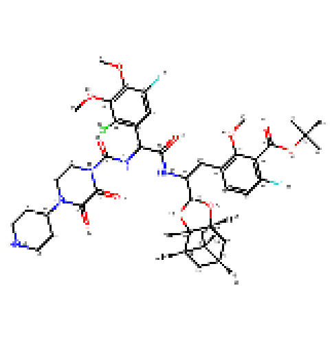 COc1c(F)cc(C(NC(=O)N2CCN(C3CCNCC3)C(=O)C2=O)C(=O)NC(Cc2ccc(F)c(C(=O)OC(C)(C)C)c2OC)B2O[C@@H]3C[C@@H]4C[C@@H](C4(C)C)[C@]3(C)O2)c(Cl)c1OC